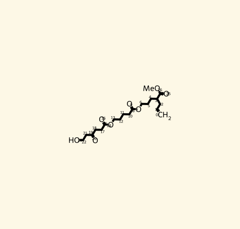 C=CCC(CCCOC(=O)CCCCOC(=O)CCC(=O)CCO)C(=O)OC